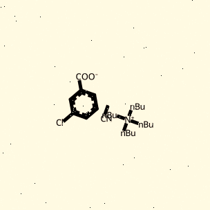 CC#N.CCCC[N+](CCCC)(CCCC)CCCC.O=C([O-])c1cccc(Cl)c1